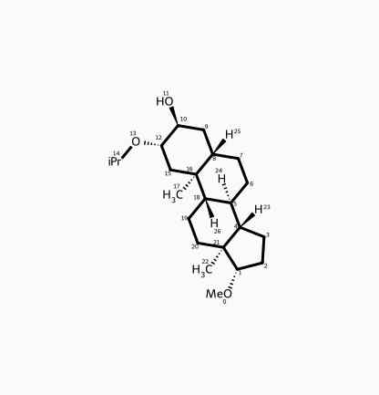 CO[C@H]1CC[C@H]2[C@@H]3CC[C@H]4C[C@H](O)[C@@H](OC(C)C)C[C@]4(C)[C@H]3CC[C@]12C